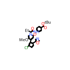 CCC(C(=O)Nc1ccc(C(=O)OC(C)(C)C)cc1)n1cc(OC)c(-c2cc(Cl)ccc2-c2cnco2)cc1=O